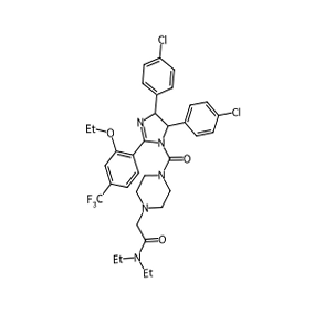 CCOc1cc(C(F)(F)F)ccc1C1=NC(c2ccc(Cl)cc2)C(c2ccc(Cl)cc2)N1C(=O)N1CCN(CC(=O)N(CC)CC)CC1